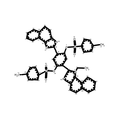 CCn1c(-c2cc(OS(=O)(=O)c3ccc(C)cc3)c(-c3nc4ccc5ccccc5c4o3)cc2OS(=O)(=O)c2ccc(C)cc2)nc2ccc3ccccc3c21